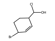 OC(Cl)C1C=CC(Br)CC1